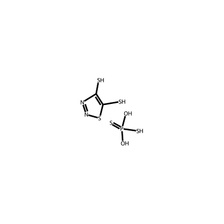 OP(O)(=S)S.Sc1nnsc1S